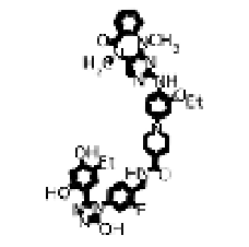 CCOc1cc(N2CCC(C(=O)NCc3ccc(-n4c(O)nnc4-c4cc(CC)c(O)cc4O)cc3F)CC2)ccc1Nc1ncc2c(n1)N(C)c1ccccc1C(=O)N2C